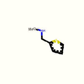 CONCc1cccs1